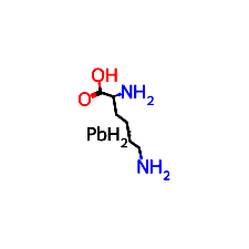 NCCCC[C@H](N)C(=O)O.[PbH2]